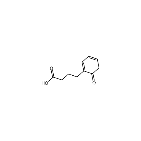 O=C(O)CCCC1=CC=CCC1=O